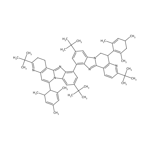 CC1=CC(C)C(c2cc3c(c4nc5c(-c6cc(C(C)(C)C)cc7c6nc6n7CC(C7=C(C)CC(C)C=C7C)c7nc(C(C)(C)C)ccc7-6)cc(C(C)(C)C)cc5n24)CCC(C(C)(C)C)=N3)C(C)=C1